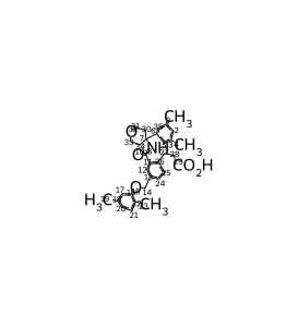 Cc1cc(C)cc(C2(NC(=O)c3cc(COc4cc(C)ccc4C)ccc3CCC(=O)O)CCOCC2)c1